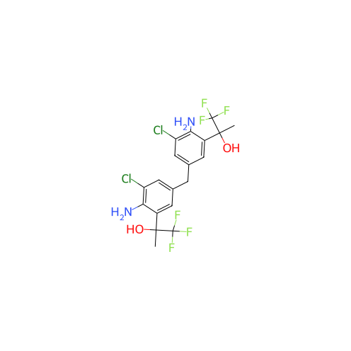 CC(O)(c1cc(Cc2cc(Cl)c(N)c(C(C)(O)C(F)(F)F)c2)cc(Cl)c1N)C(F)(F)F